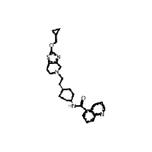 O=C(N[C@H]1CC[C@H](CCN2CCc3sc(OCC4CC4)nc3C2)CC1)c1cccc2ncccc12